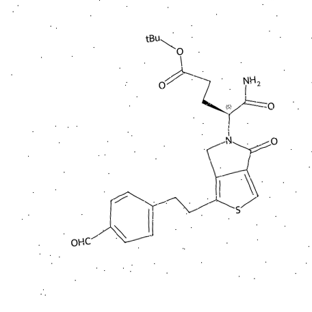 CC(C)(C)OC(=O)CC[C@@H](C(N)=O)N1Cc2c(csc2CCc2ccc(C=O)cc2)C1=O